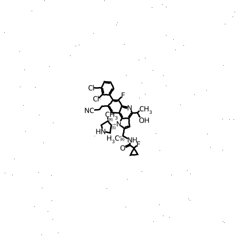 CC(O)c1nc2c(F)c(-c3cccc(Cl)c3Cl)c(CCC#N)cc2c2c1cc([C@@H](C)NC(=O)C1(F)CC1)n2[C@@H]1CNC[C@H]1C